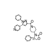 O=C(c1cc(-c2ccncc2)n(-c2ccccc2)n1)N1CCC(N2C(=O)OC[C@H]2c2ccccc2)CC1